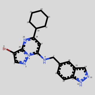 Brc1cnn2c(NCc3ccc4[nH]ncc4c3)cc(C3CCCCC3)nc12